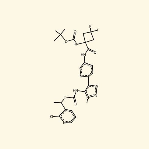 C[C@@H](OC(=O)Nc1c(-c2ccc(NC(=O)C3(NC(=O)OC(C)(C)C)CC(F)(F)C3)cn2)nnn1C)c1cccnc1Cl